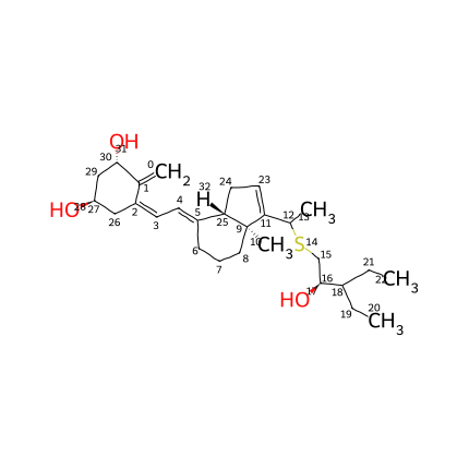 C=C1/C(=C\C=C2/CCC[C@]3(C)C(C(C)SC[C@H](O)C(CC)CC)=CC[C@@H]23)C[C@@H](O)C[C@@H]1O